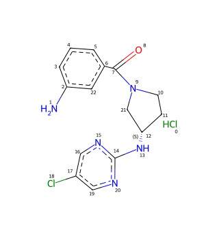 Cl.Nc1cccc(C(=O)N2CC[C@H](Nc3ncc(Cl)cn3)C2)c1